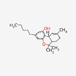 CCCCCc1cc(O)c2c(c1)OC(C)(C)C1CCC(C)=C[C@@H]21